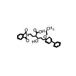 CCCOC1(CCC(O)C(CCN2C(=O)c3ccccc3C2=O)C(=O)O)C=CC(c2ccccc2)=CC1